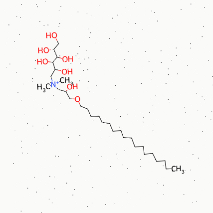 CCCCCCCCCCCCCCCCCCOCC(O)C[N+](C)(C)CC(O)C(O)C(O)[C@H](O)CO